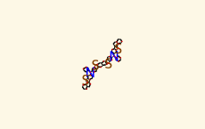 c1ccc(N(c2ccc3c(c2)sc2cc4cc5c(cc4cc23)sc2cc(N(c3ccccc3)c3ccc4c(c3)sc3c6ccccc6ccc43)ccc25)c2ccc3c(c2)sc2c4ccccc4ccc32)cc1